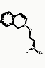 CC(C)(C)[N+]([O-])=CCON1C=Cc2ccccc2C1